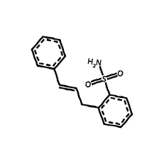 NS(=O)(=O)c1ccccc1CC=Cc1ccccc1